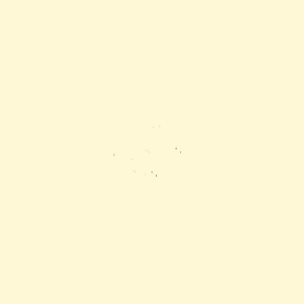 CC1(C)CC(=O)c2sc(N3CCOCC3C(=O)O)nc2C1